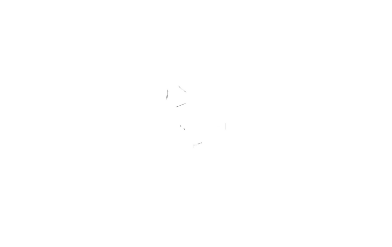 CNC(Cc1ccccc1)C(O)C(=O)OC